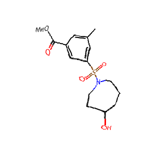 COC(=O)c1cc(C)cc(S(=O)(=O)N2CCCC(O)CC2)c1